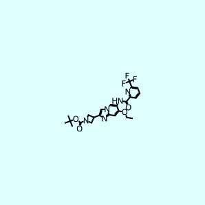 CCOc1cc2nc(C3CN(C(=O)OC(C)(C)C)C3)cn2cc1NC(=O)c1cccc(C(F)(F)F)n1